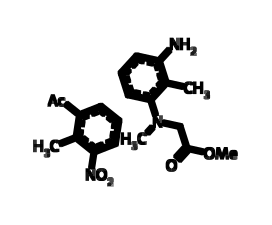 CC(=O)c1cccc([N+](=O)[O-])c1C.COC(=O)CN(C)c1cccc(N)c1C